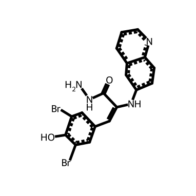 NNC(=O)C(=Cc1cc(Br)c(O)c(Br)c1)Nc1ccc2ncccc2c1